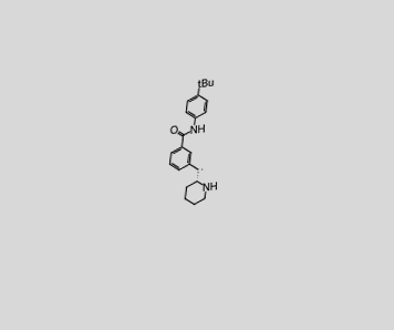 CC(C)(C)c1ccc(NC(=O)c2cccc([CH][C@H]3CCCCN3)c2)cc1